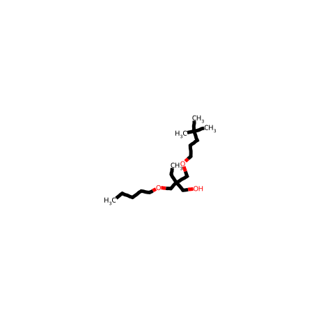 CCCCCOCC(CC)(CO)COCCCC(C)(C)C